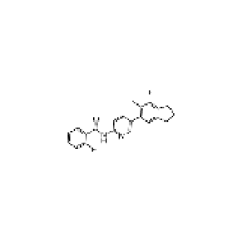 Cc1c(-c2ccc(NC(=O)c3ccccc3F)nc2)cc2c(c1F)CCC2